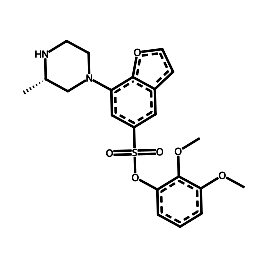 COc1cccc(OS(=O)(=O)c2cc(N3CCN[C@@H](C)C3)c3occc3c2)c1OC